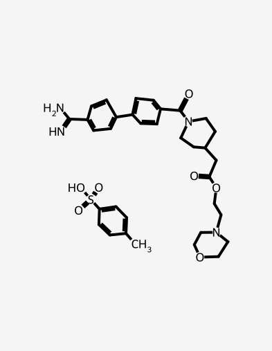 Cc1ccc(S(=O)(=O)O)cc1.N=C(N)c1ccc(-c2ccc(C(=O)N3CCC(CC(=O)OCCN4CCOCC4)CC3)cc2)cc1